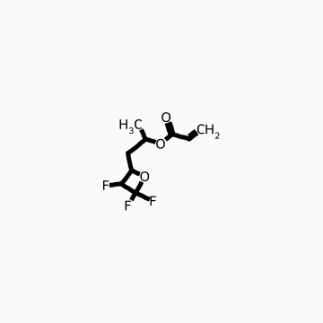 C=CC(=O)OC(C)CC1OC(F)(F)C1F